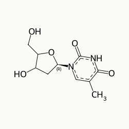 Cc1cn([C@H]2CC(O)C(CO)O2)c(=O)[nH]c1=O